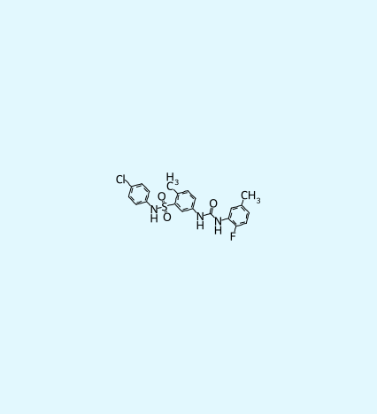 Cc1ccc(F)c(NC(=O)Nc2ccc(C)c(S(=O)(=O)Nc3ccc(Cl)cc3)c2)c1